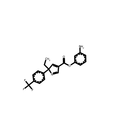 CCC1(c2ccc(C(F)(F)F)cc2)C=C(C(=O)Oc2cccc(N)c2)C=N1